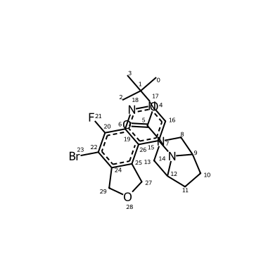 CC(C)(C)OC(=O)N1CC2CCC(C1)N2c1cnnc2c(F)c(Br)c3c(c12)COC3